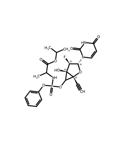 C#C[C@]12O[C@@H](n3ccc(=O)[nH]c3=O)[C@H](F)[C@@]1(O)C2OP(=O)(NC(C)C(=O)OC(C)C)Oc1ccccc1